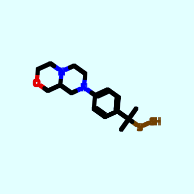 CC(C)(SS)c1ccc(N2CCN3CCOCC3C2)cc1